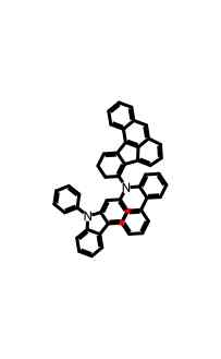 C1=C2C(=C(N(c3ccc4c5ccccc5n(-c5ccccc5)c4c3)c3ccccc3-c3ccccc3)CC1)c1cccc3cc4ccccc4c2c13